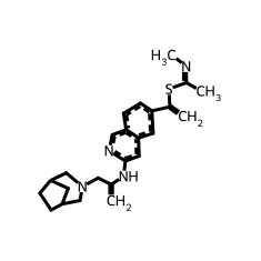 C=C(CN1CC2CCC(C2)C1)Nc1cc2cc(C(=C)S/C(C)=N\C)ccc2cn1